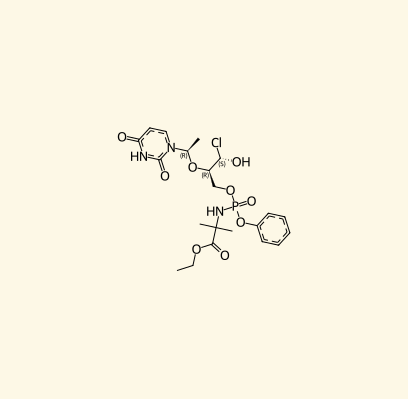 CCOC(=O)C(C)(C)NP(=O)(OC[C@@H](O[C@H](C)n1ccc(=O)[nH]c1=O)[C@@H](O)Cl)Oc1ccccc1